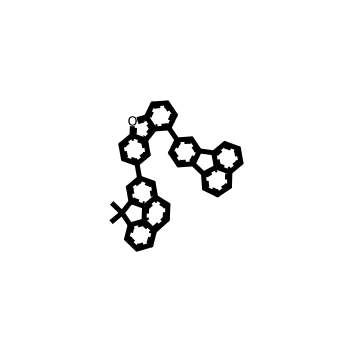 CC1(C)c2cccc3ccc4cc(-c5ccc6oc7cccc(-c8ccc9c(c8)-c8cccc%10cccc-9c8%10)c7c6c5)cc1c4c23